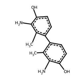 Cc1c(-c2ccc(O)c(N)c2C)ccc(O)c1N